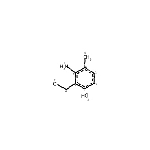 Cc1cccc(CCl)c1N.Cl